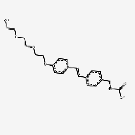 O=C(O)NCc1ccc(C=Cc2ccc(OCCOCCOCCO)cc2)cc1